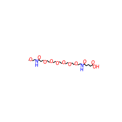 COCCNC(=O)CCOCCOCCOCCOCCOCCOCCNC(=O)CCCC(=O)O